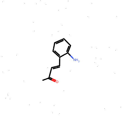 CC(=O)C=Cc1ccccc1N